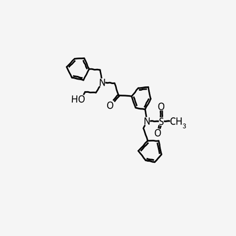 CS(=O)(=O)N(Cc1ccccc1)c1cccc(C(=O)CN(CCO)Cc2ccccc2)c1